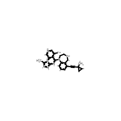 Cc1nnc2nc(N3CCOCc4c(C#CC5(C)CC5)cccc43)c3c(F)cncc3n12